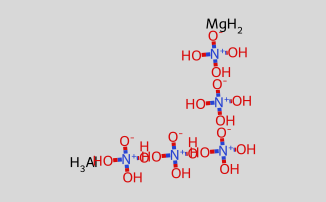 [AlH3].[MgH2].[O-][N+](O)(O)O.[O-][N+](O)(O)O.[O-][N+](O)(O)O.[O-][N+](O)(O)O.[O-][N+](O)(O)O